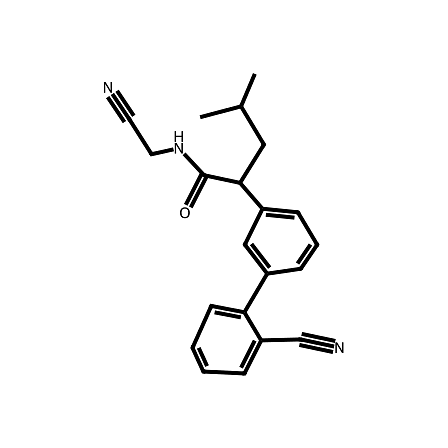 CC(C)CC(C(=O)NCC#N)c1cccc(-c2ccccc2C#N)c1